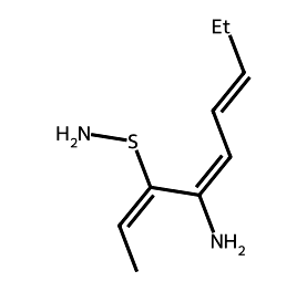 C\C=C(SN)/C(N)=C\C=C\CC